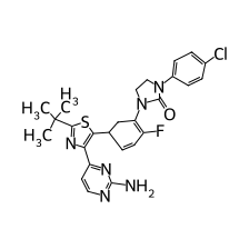 CC(C)(C)c1nc(-c2ccnc(N)n2)c(C2C=CC(F)=C(N3CCN(c4ccc(Cl)cc4)C3=O)C2)s1